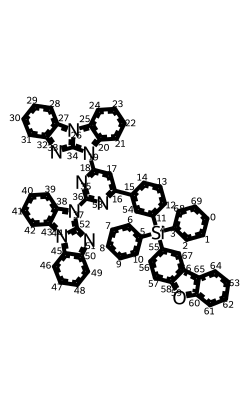 c1ccc([Si](c2ccccc2)(c2cccc(-c3cc(-n4c5ccccc5n5c6ccccc6nc45)nc(-n4c5ccccc5n5c6ccccc6nc45)n3)c2)c2ccc3oc4ccccc4c3c2)cc1